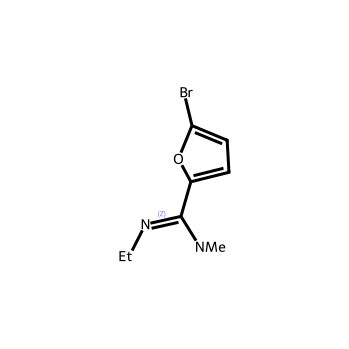 CC/N=C(\NC)c1ccc(Br)o1